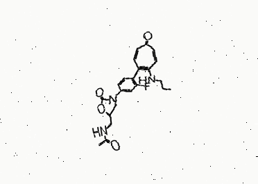 CCCNc1ccc(=O)ccc1-c1ccc(N2CC(CNC(C)=O)OC2=O)cc1F